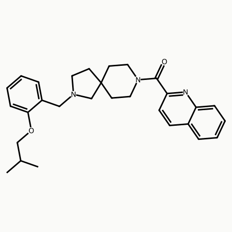 CC(C)COc1ccccc1CN1CCC2(CCN(C(=O)c3ccc4ccccc4n3)CC2)C1